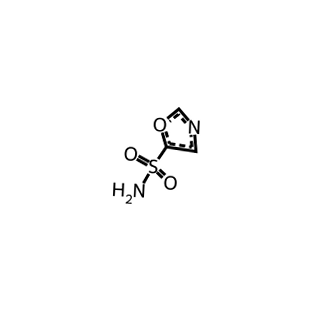 NS(=O)(=O)c1cnco1